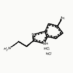 CC(=O)c1ccc2[nH]c(CCN)nc2c1.Cl.Cl